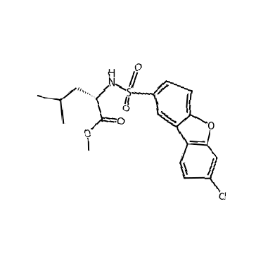 COC(=O)[C@H](CC(C)C)NS(=O)(=O)c1ccc2oc3cc(Cl)ccc3c2c1